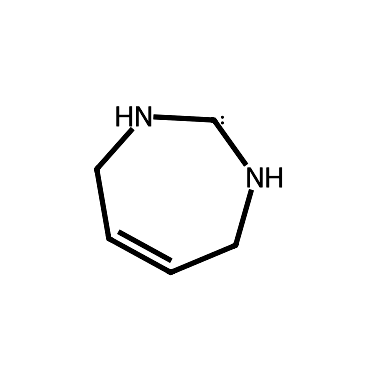 [C]1NCC=CCN1